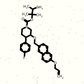 C=CCOc1ccc2cc(COC3CN(C(=O)OC(C)(C)C(C)[SiH3])CCC3c3ccc(F)cc3)ccc2c1